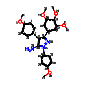 COc1ccc(-c2c(-c3cc(OC)c(OC)c(OC)c3)nn(-c3ccc(OC)cc3)c2N)cc1